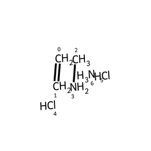 C=C.CN.Cl.Cl.N